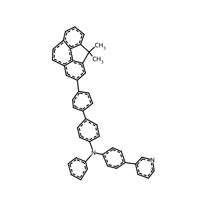 CC1(C)c2cccc3ccc4cc(-c5ccc(-c6ccc(N(c7ccccc7)c7ccc(-c8cccnc8)cc7)cc6)cc5)cc1c4c23